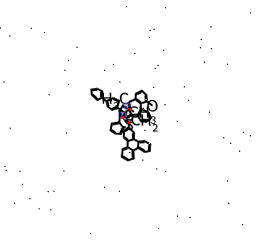 C=C(/N=C(\C(C)=C(/C)c1cccc2oc3cccc(-c4cccc5c4sc4ccccc45)c3c12)c1ccc(-c2ccccc2)cc1)c1ccc2c3ccccc3c3ccccc3c2c1